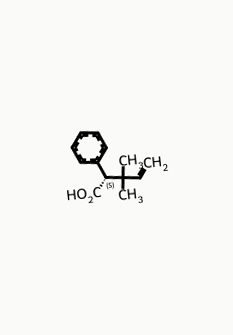 C=CC(C)(C)[C@H](C(=O)O)c1ccccc1